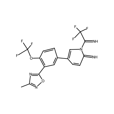 Cc1noc(-c2cc(-c3ccc(=N)n(C(=N)C(F)(F)F)c3)ccc2OC(F)(F)F)n1